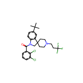 CC(C)(C)c1ccc2c(c1)C1(CCN(CCC(F)(F)F)CC1)CN2C(=O)c1cccc(Cl)c1Cl